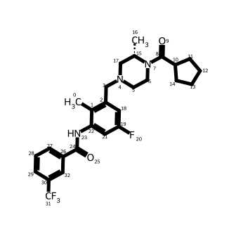 Cc1c(CN2CCN(C(=O)C3CCCC3)[C@@H](C)C2)cc(F)cc1NC(=O)c1cccc(C(F)(F)F)c1